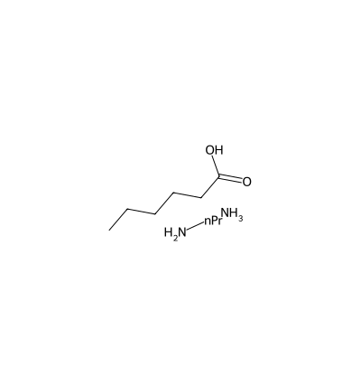 CCCCCC(=O)O.CCCN.N